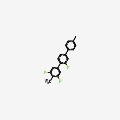 Cc1ccc(-c2ccc(-c3cc(F)c(C(F)(F)F)c(F)c3)c(F)c2)cc1